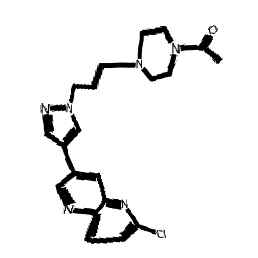 CC(=O)N1CCN(CCCn2cc(-c3cnc4ccc(Cl)nc4c3)cn2)CC1